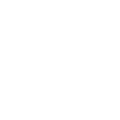 Cn1cc(-c2cccnc2Nc2ccc(S(F)(F)(F)(F)F)cc2)ccc1=O